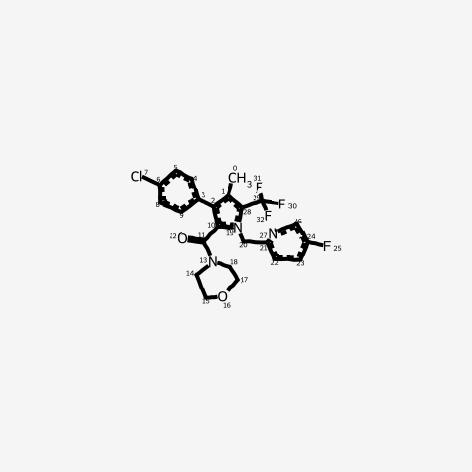 Cc1c(-c2ccc(Cl)cc2)c(C(=O)N2CCOCC2)n(Cc2ccc(F)cn2)c1C(F)(F)F